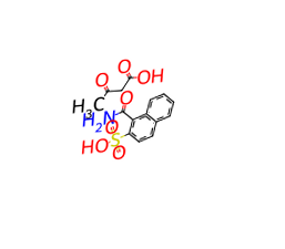 CC(=O)CC(=O)O.NC(=O)c1c(S(=O)(=O)O)ccc2ccccc12